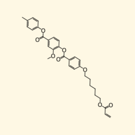 C=CC(=O)OCCCCCCOc1ccc(C(=O)Oc2ccc(C(=O)Oc3ccc(C)cc3)cc2OC)cc1